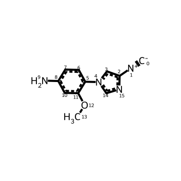 [C-]#[N+]c1cn(-c2ccc(N)cc2OC)cn1